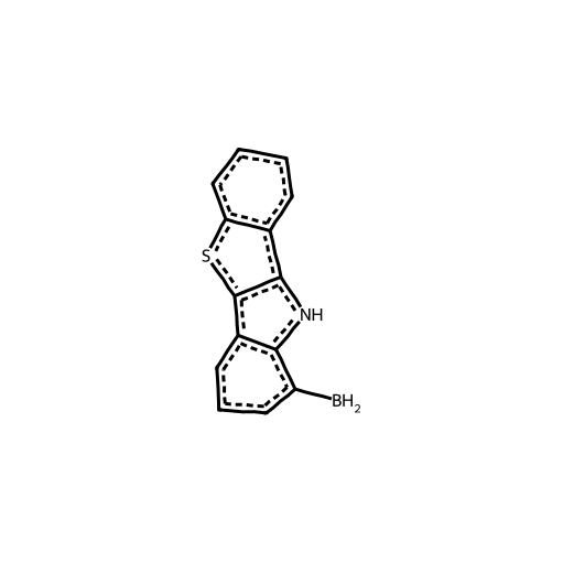 Bc1cccc2c1[nH]c1c3ccccc3sc21